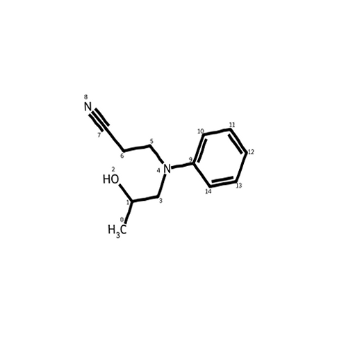 CC(O)CN(CCC#N)c1ccccc1